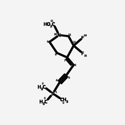 C[Si](C)(C)C#C/C=C1\CCN(C(=O)O)CC1(F)F